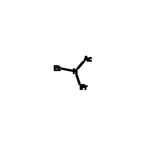 [CH2]C(=O)N(CC)C(C)C